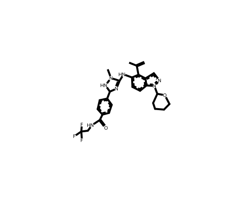 C=C(C)c1c(NC2=NC(c3ccc(C(=O)NCC(F)(F)F)cc3)NN2C)ccc2c1cnn2C1CCCCO1